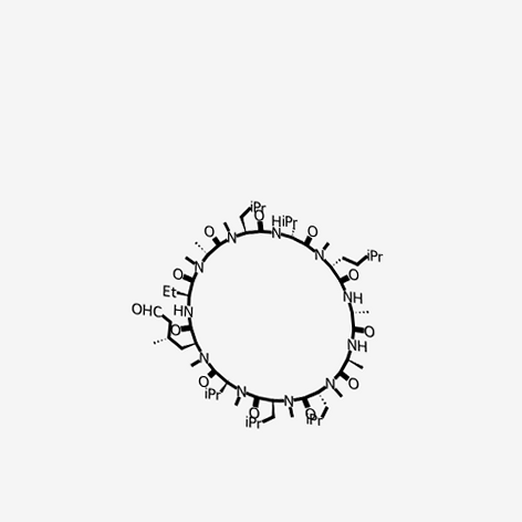 CC[C@@H]1NC(=O)[C@H](C[C@H](C)CC=O)N(C)C(=O)[C@H](C(C)C)N(C)C(=O)[C@H](CC(C)C)N(C)C(=O)[C@@H](CC(C)C)N(C)C(=O)[C@H](C)NC(=O)[C@@H](C)NC(=O)[C@@H](CCC(C)C)N(C)C(=O)[C@@H](C(C)C)NC(=O)[C@H](CC(C)C)N(C)C(=O)[C@@H](C)N(C)C1=O